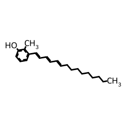 CCCCCCCCCC=CC=CC=Cc1cccc(O)c1C